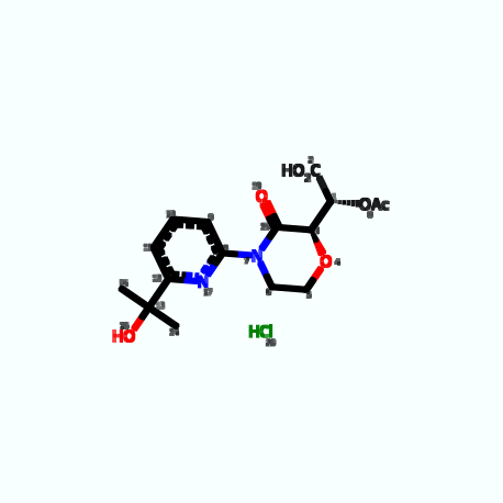 CC(=O)O[C@@H](C(=O)O)[C@H]1OCCN(c2cccc(C(C)(C)O)n2)C1=O.Cl